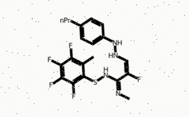 CCCc1ccc(NN/C=C(F)\C(=N/C)NSc2c(C)c(F)c(F)c(F)c2F)cc1